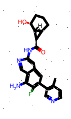 Cc1ccncc1-c1cc2cc(NC(=O)[C@@H]3[C@H]4CCC[C@H](O)[C@H]43)ncc2c(N)c1F